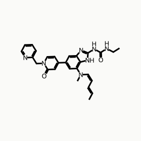 CC=C/C=C\N(C)c1cc(-c2ccn(Cc3ccccn3)c(=O)c2)cc2nc(NC(=O)NCC)[nH]c12